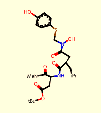 CNC(=O)[C@H](CC(=O)OC(C)(C)C)NC(=O)[C@@H](CC(=O)N(O)CSc1ccc(O)cc1)CC(C)C